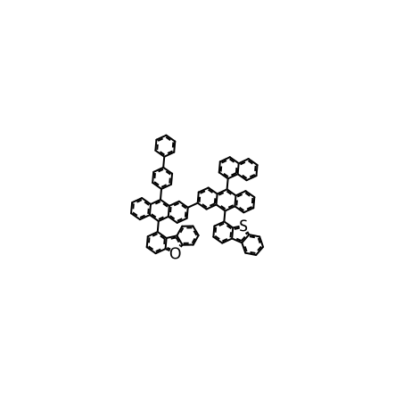 c1ccc(-c2ccc(-c3c4ccccc4c(-c4cccc5oc6ccccc6c45)c4ccc(-c5ccc6c(-c7cccc8ccccc78)c7ccccc7c(-c7cccc8c7sc7ccccc78)c6c5)cc34)cc2)cc1